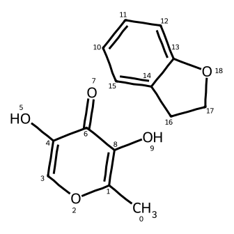 Cc1occ(O)c(=O)c1O.c1ccc2c(c1)CCO2